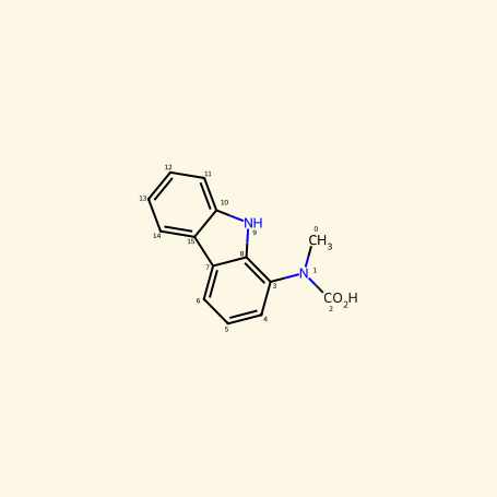 CN(C(=O)O)c1cccc2c1[nH]c1ccccc12